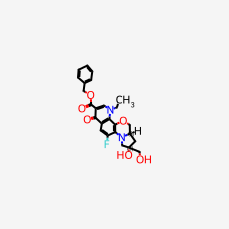 CCn1cc(C(=O)OCc2ccccc2)c(=O)c2cc(F)c3c(c21)OC[C@@H]1C[C@@](O)(CO)CN31